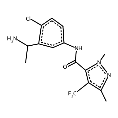 Cc1nn(C)c(C(=O)Nc2ccc(Cl)c(C(C)N)c2)c1C(F)(F)F